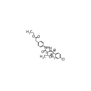 CCOC(=O)Cc1ccc(NC(=O)[C@@H](NS(=O)(=O)c2ccc(Cl)cc2)C(C)C)cc1